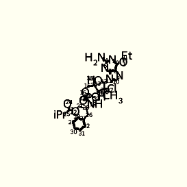 CCOc1nc(N)nc2c1ncn2[C@@H]1O[C@@H]2COP(=O)(N[C@H](COC(=O)C(C)C)Cc3ccccc3)O[C@H]2[C@@]1(C)Cl